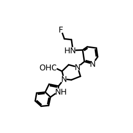 O=CC1CN(c2ncccc2NCCF)CCN1c1cc2ccccc2[nH]1